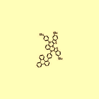 CC(C)(C)c1ccc(N2c3cccc4c3B(c3sc5ccc(C(C)(C)C)cc5c3N4c3ccc(-c4cccc5c6ccccc6c6ccccc6c45)cc3)c3sc4ccc(C(C)(C)C)cc4c32)cc1